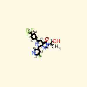 C[C@@H](CO)n1cnc2c(-c3cncc(F)c3)nc(-c3ccc(C(F)(F)F)cc3)cc2c1=O